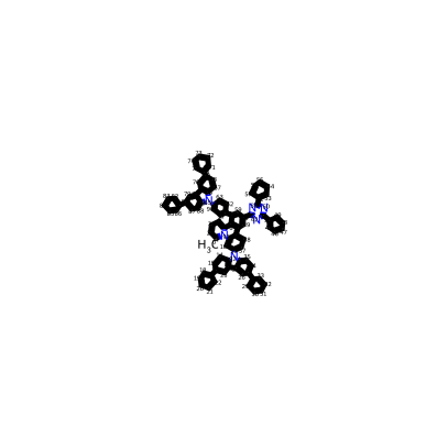 Cc1cccc(-c2c(-c3ccc(-n4c5ccc(-c6ccccc6)cc5c5cc(-c6ccccc6)ccc54)cc3)cc(-c3nc(-c4ccccc4)nc(-c4ccccc4)n3)cc2-c2ccc(-n3c4ccc(-c5ccccc5)cc4c4cc(-c5ccccc5)ccc43)cc2)n1